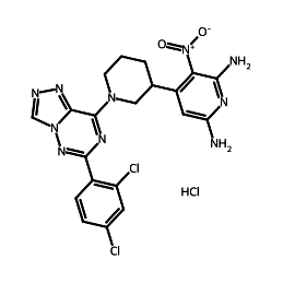 Cl.Nc1cc(C2CCCN(c3nc(-c4ccc(Cl)cc4Cl)nn4cnnc34)C2)c([N+](=O)[O-])c(N)n1